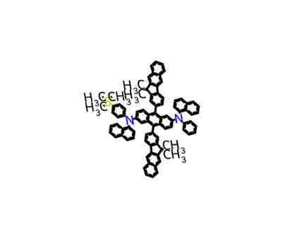 CC1(C)c2cc(-c3c4ccc(N(c5ccc(S(C)(C)C)cc5)c5cccc6ccccc56)cc4c(-c4ccc5c(c4)C(C)(C)c4cc6ccccc6cc4-5)c4ccc(N(c5ccccc5)c5cccc6ccccc56)cc34)ccc2-c2cc3ccccc3cc21